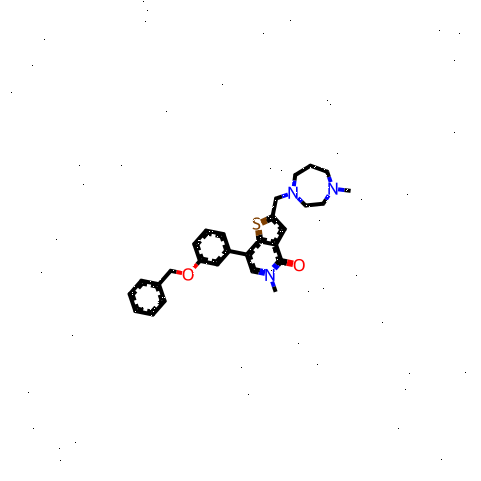 CN1CCCN(Cc2cc3c(=O)n(C)cc(-c4cccc(OCc5ccccc5)c4)c3s2)CC1